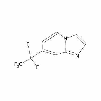 FC(F)(F)C(F)(F)c1ccn2ccnc2c1